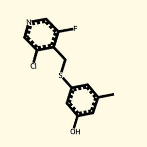 Cc1cc(O)cc(SCc2c(F)cncc2Cl)c1